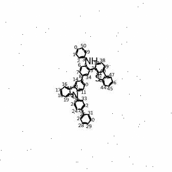 c1ccc(Nc2ccc(-c3ccc4c(c3)c3ccccc3n4-c3ccc(-c4ccccc4)cc3)cc2-c2cccc3c2sc2ccccc23)cc1